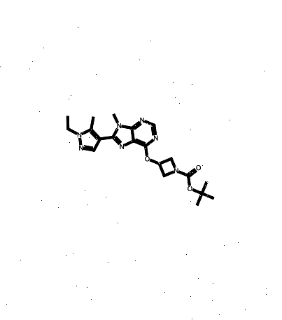 CCn1ncc(-c2nc3c(OC4CN(C(=O)OC(C)(C)C)C4)ncnc3n2C)c1C